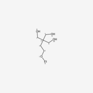 CCOCCC(CO)(CO)CO